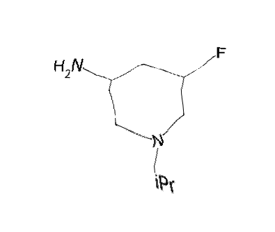 CC(C)N1CC(N)CC(F)C1